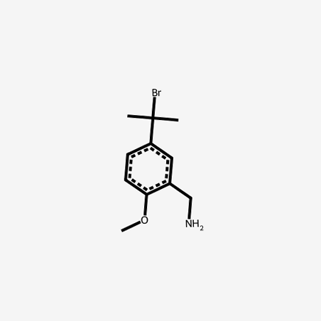 COc1ccc(C(C)(C)Br)cc1CN